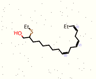 CC/C=C\C/C=C\C/C=C\CCCCCCC(CO)SCC